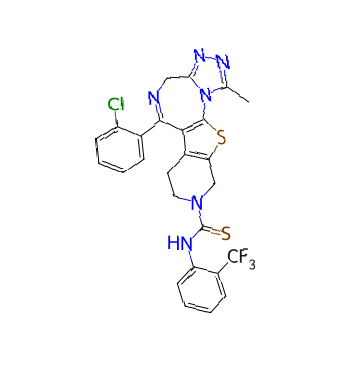 Cc1nnc2n1-c1sc3c(c1C(c1ccccc1Cl)=NC2)CCN(C(=S)Nc1ccccc1C(F)(F)F)C3